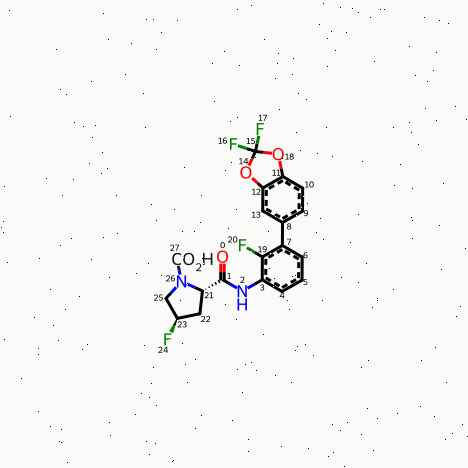 O=C(Nc1cccc(-c2ccc3c(c2)OC(F)(F)O3)c1F)[C@@H]1C[C@@H](F)CN1C(=O)O